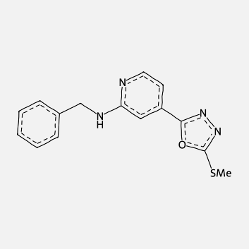 CSc1nnc(-c2ccnc(NCc3ccccc3)c2)o1